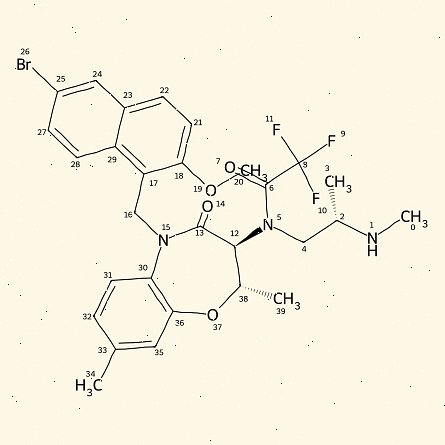 CN[C@@H](C)CN(C(=O)C(F)(F)F)[C@@H]1C(=O)N(Cc2c(OC)ccc3cc(Br)ccc23)c2ccc(C)cc2O[C@H]1C